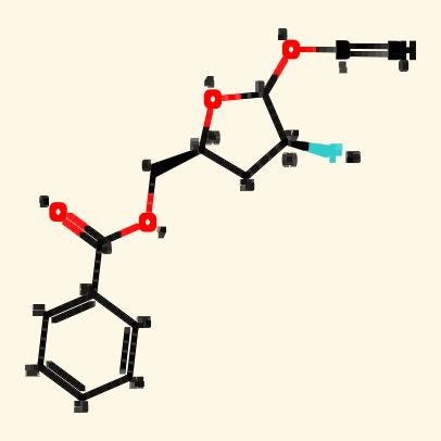 B=BOC1O[C@H](COC(=O)c2ccccc2)C[C@@H]1F